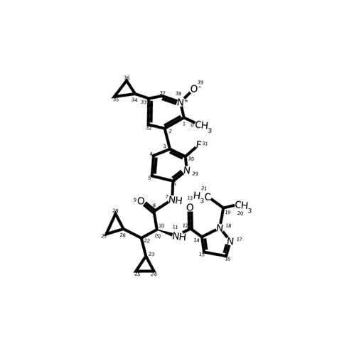 Cc1c(-c2ccc(NC(=O)[C@@H](NC(=O)c3ccnn3C(C)C)C(C3CC3)C3CC3)nc2F)cc(C2CC2)c[n+]1[O-]